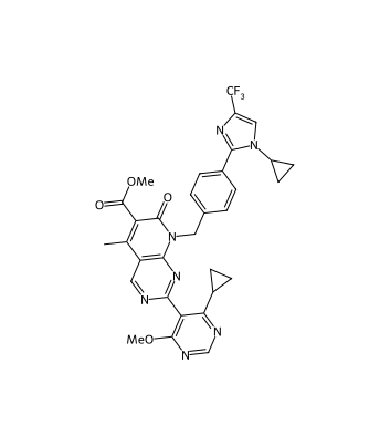 COC(=O)c1c(C)c2cnc(-c3c(OC)ncnc3C3CC3)nc2n(Cc2ccc(-c3nc(C(F)(F)F)cn3C3CC3)cc2)c1=O